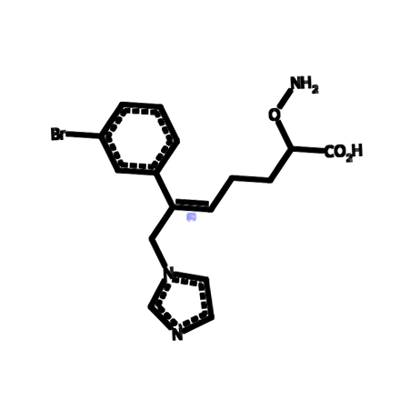 NOC(CC/C=C(/Cn1ccnc1)c1cccc(Br)c1)C(=O)O